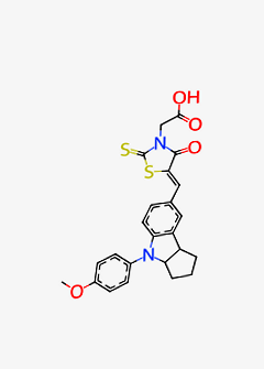 COc1ccc(N2c3ccc(/C=C4\SC(=S)N(CC(=O)O)C4=O)cc3C3CCCC32)cc1